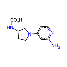 Nc1cc(N2CCC(NC(=O)O)C2)ccn1